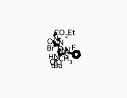 CCOC(=O)Cn1cnc(OC[C@](C)(NC(=O)OC(C)(C)C)c2nnc(-c3ccccc3F)s2)c(Br)c1=O